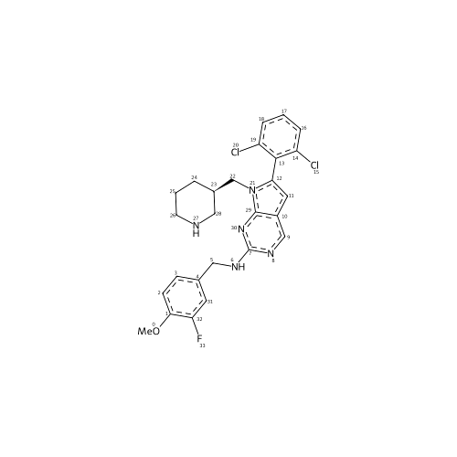 COc1ccc(CNc2ncc3cc(-c4c(Cl)cccc4Cl)n(C[C@@H]4CCCNC4)c3n2)cc1F